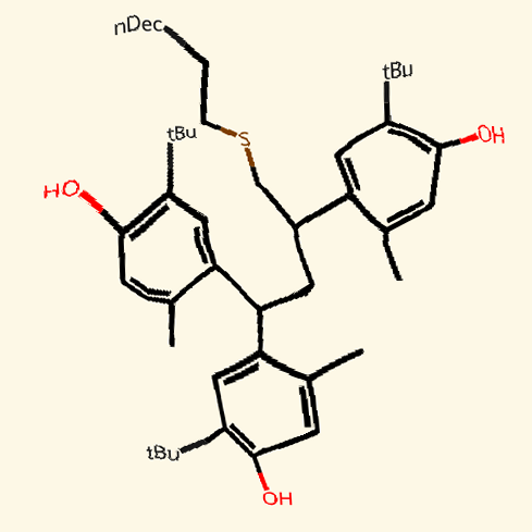 CCCCCCCCCCCCSCC(CC(c1cc(C(C)(C)C)c(O)cc1C)c1cc(C(C)(C)C)c(O)cc1C)c1cc(C(C)(C)C)c(O)cc1C